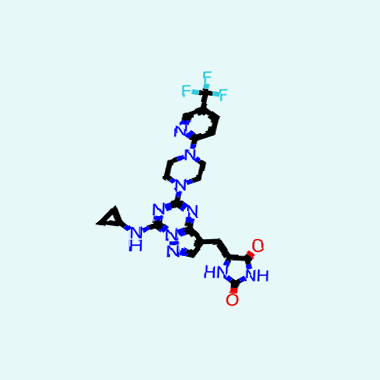 O=C1NC(=O)/C(=C/c2cnn3c(NC4CC4)nc(N4CCN(c5ccc(C(F)(F)F)cn5)CC4)nc23)N1